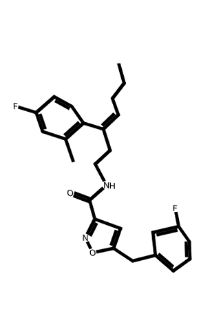 CCC/C=C(/CCNC(=O)c1cc(Cc2cccc(F)c2)on1)c1ccc(F)cc1C